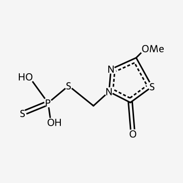 COc1nn(CSP(O)(O)=S)c(=O)s1